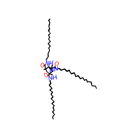 CCCCCCCCCCCCCCCCCCNC(=O)C1(C)CC(C)(C(=O)NCCCCCCCCCCCCCCCCCC)CC(C)(C(=O)NCCCCCCCCCCCCCCCCCC)C1